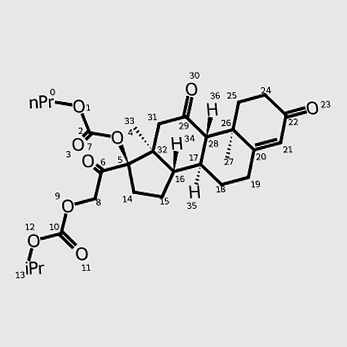 CCCOC(=O)O[C@]1(C(=O)COC(=O)OC(C)C)CC[C@H]2[C@@H]3CCC4=CC(=O)CC[C@]4(C)[C@H]3C(=O)C[C@@]21C